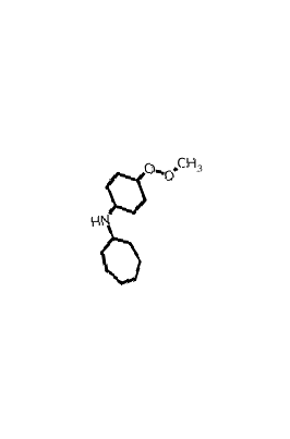 COOC1CCC(NC2CCCCCC2)CC1